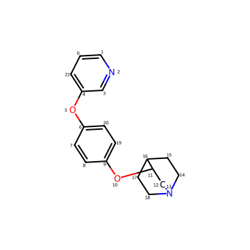 c1cncc(Oc2ccc(OC3CN4CCC3CC4)cc2)c1